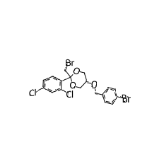 Clc1ccc(C2(CBr)OCC(OCc3ccc(Br)cc3)CO2)c(Cl)c1